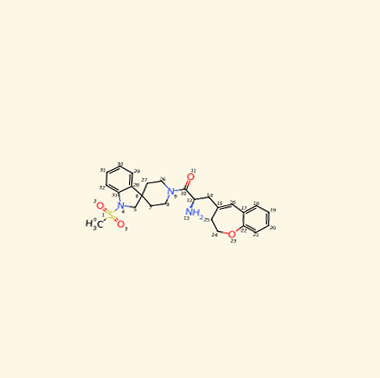 CS(=O)(=O)N1CC2(CCN(C(=O)[C@H](N)CC3=Cc4ccccc4OCC3)CC2)c2ccccc21